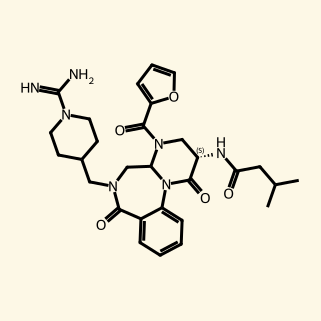 CC(C)CC(=O)N[C@H]1CN(C(=O)c2ccco2)C2CN(CC3CCN(C(=N)N)CC3)C(=O)c3ccccc3N2C1=O